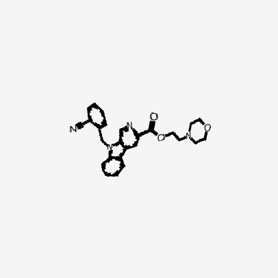 N#Cc1ccccc1Cn1c2ccccc2c2cc(C(=O)OCCN3CCOCC3)ncc21